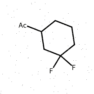 CC(=O)C1CCCC(F)(F)C1